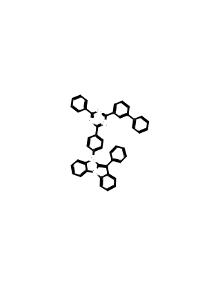 c1ccc(-c2cccc(-c3nc(-c4ccccc4)nc(-c4ccc(-n5c6ccccc6n6c7ccccc7c(-c7ccccc7)c56)cc4)n3)c2)cc1